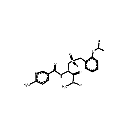 CN(C#N)C(=O)[C@H](CS(=O)(=O)Cc1ccccc1OC(F)F)NC(=O)c1ccc([AsH2])nc1